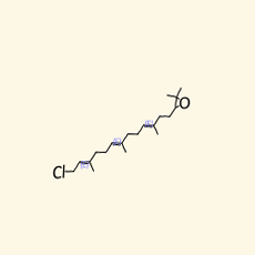 C/C(=C\CCl)CC/C=C(\C)CC/C=C(\C)CCC1OC1(C)C